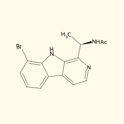 CC(=O)N[C@H](C)c1nccc2c1[nH]c1c(Br)cccc12